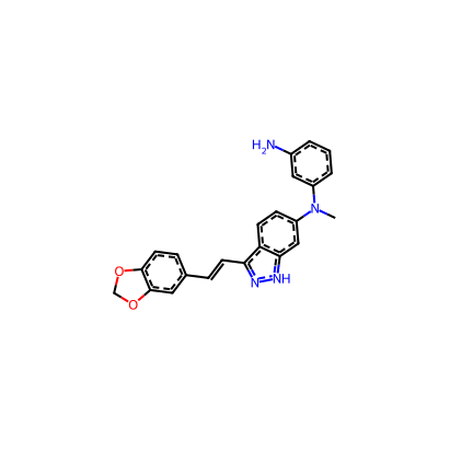 CN(c1cccc(N)c1)c1ccc2c(/C=C/c3ccc4c(c3)OCO4)n[nH]c2c1